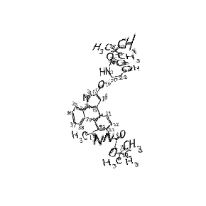 Cc1nn(C(=O)OC(C)(C)C)c2ccc(-c3cc(OC[C@@H](CO)NC(=O)OC(C)(C)C)cnc3-c3ccccc3)cc12